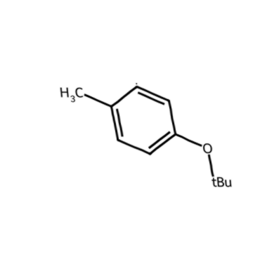 Cc1[c]cc(OC(C)(C)C)cc1